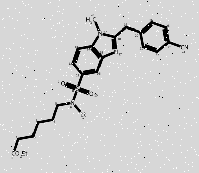 CCOC(=O)CCCCCN(CC)S(=O)(=O)c1ccc2c(c1)nc(Cc1ccc(C#N)cc1)n2C